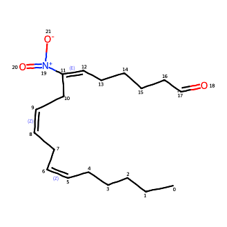 CCCCC/C=C\C/C=C\C/C(=C\CCCC[C]=O)[N+](=O)[O-]